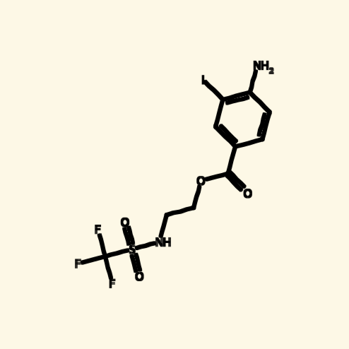 Nc1ccc(C(=O)OCCNS(=O)(=O)C(F)(F)F)cc1I